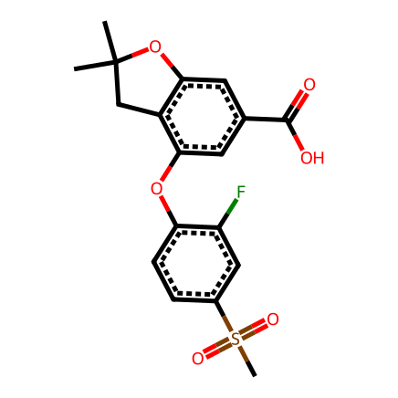 CC1(C)Cc2c(Oc3ccc(S(C)(=O)=O)cc3F)cc(C(=O)O)cc2O1